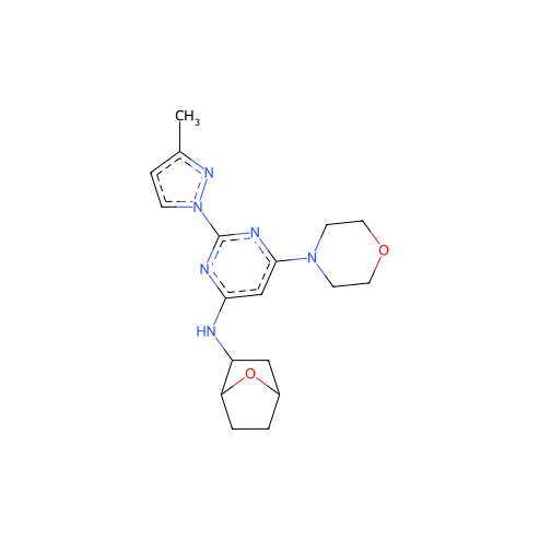 Cc1ccn(-c2nc(NC3CC4CCC3O4)cc(N3CCOCC3)n2)n1